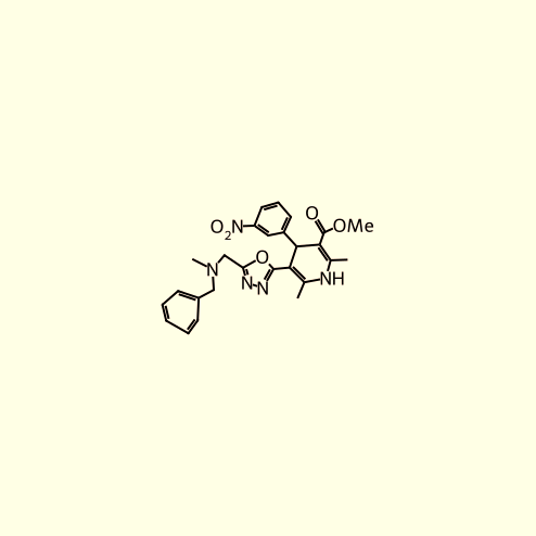 COC(=O)C1=C(C)NC(C)=C(c2nnc(CN(C)Cc3ccccc3)o2)C1c1cccc([N+](=O)[O-])c1